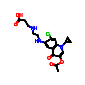 CC(=O)Oc1cn(C2CC2)c2cc(Cl)c(NCCNCCC(=O)O)cc2c1=O